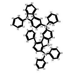 c1ccc(-c2ccc(N(c3ccccc3)c3ccccc3)c3sc4ccc(N(c5ccccc5)c5ccc6c(c5)c5ccccc5n6-c5ccccc5)cc4c23)cc1